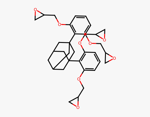 c1cc(OCC2CO2)c(C23CC4CC(C2)CC(c2c(OCC5CO5)cccc2OCC2CO2)(C4)C3)c(OCC2CO2)c1